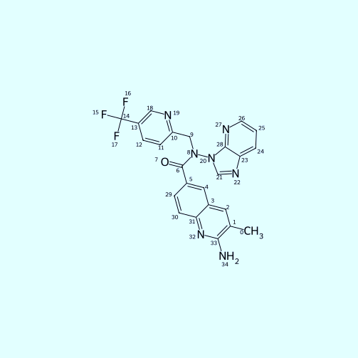 Cc1cc2cc(C(=O)N(Cc3ccc(C(F)(F)F)cn3)n3cnc4cccnc43)ccc2nc1N